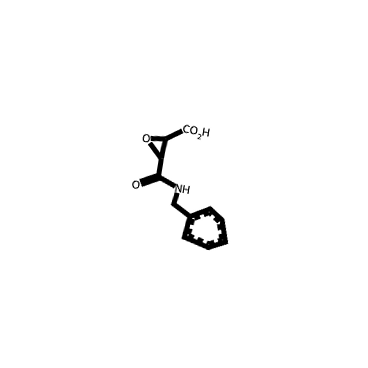 O=C(O)C1OC1C(=O)NCc1ccccc1